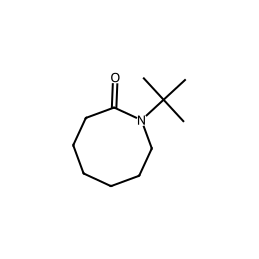 CC(C)(C)N1CCCCCCC1=O